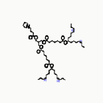 CC/C=C\CCCC(CCC/C=C\CC)OC(=O)CCCCCC(=O)OCC(COC(=O)CCCCCC(=O)OC(CCC/C=C\CC)CCC/C=C\CC)COC(=O)CCCN1CCCC1